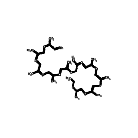 CCOC(C)COC(C)COC(C)COC(C)COC(C)COC(C)COC(C)COC(C)COC(C)COC(C)CO